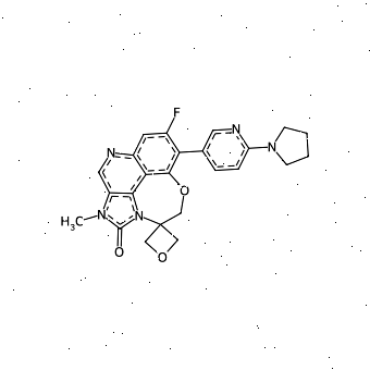 Cn1c(=O)n2c3c4c(c(-c5ccc(N6CCCC6)nc5)c(F)cc4ncc31)OCC21COC1